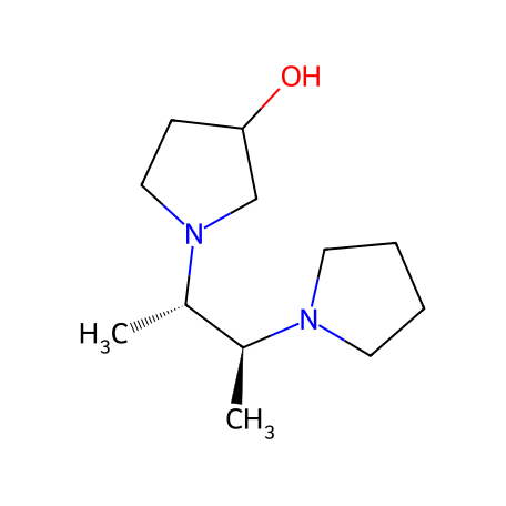 C[C@@H]([C@H](C)N1CCC(O)C1)N1CCCC1